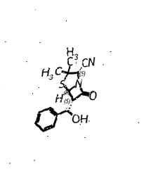 CC1(C)S[C@@H]2[C@@H](C(O)c3ccccc3)C(=O)N2[C@H]1C#N